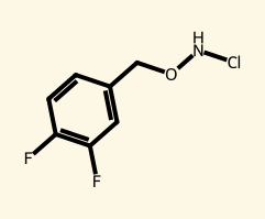 Fc1ccc(CONCl)cc1F